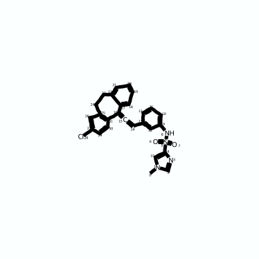 Cn1cnc(S(=O)(=O)Nc2cccc(C=C=C3c4ccccc4CCc4cc(Cl)ccc43)c2)c1